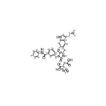 CN(C)CCc1c[nH]c2ccc(CC3NC(=O)N(Cc4cccc(C(=O)Nc5ccccc5)c4)C3=O)cc12.O.O.O=C(O)C=CC(=O)O